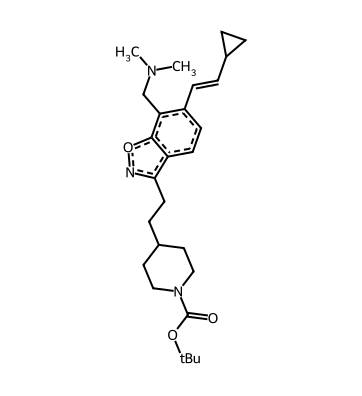 CN(C)Cc1c(/C=C/C2CC2)ccc2c(CCC3CCN(C(=O)OC(C)(C)C)CC3)noc12